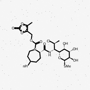 CCCC1CC[C@@H](C(=O)N[C@@H]([C@H]2O[C@H](SC)[C@H](O)[C@@H](O)[C@H]2O)[C@H](C)Cl)N(C(=O)OCc2oc(=O)oc2C)CC1